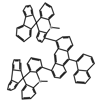 CN1c2ccccc2C2(c3ccccc3-c3ccccc32)c2cccc(-c3cccc4c(-c5cccc6ccccc56)c5cccc(-c6cccc7c6N(C)c6ccccc6C76c7ccccc7-c7ccccc76)c5cc34)c21